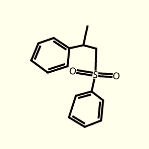 CC(CS(=O)(=O)c1ccccc1)c1ccccc1